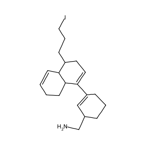 NCC1C=C(C2=CCC(CCCI)C3C=CCCC23)CCC1